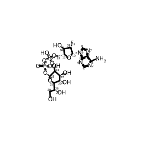 Nc1ncnc2c1ncn2[C@@H]1O[C@H](COP(=O)(O)OP(=O)(O)O[C@@H]2OC([C@H](O)CO)[C@@H](O)[C@H](O)C2O)C(O)[C@@H]1F